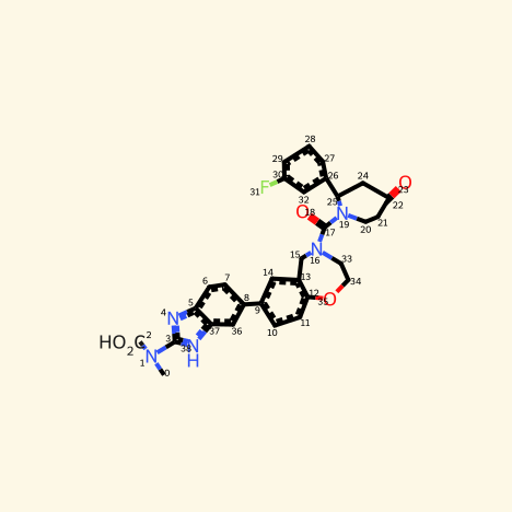 CN(C(=O)O)c1nc2ccc(-c3ccc4c(c3)CN(C(=O)N3CCC(=O)CC3c3cccc(F)c3)CCO4)cc2[nH]1